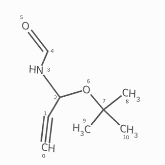 C#CC(NC=O)OC(C)(C)C